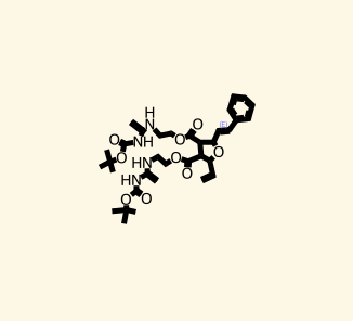 C=CC1OC(/C=C/c2ccccc2)C(C(=O)OCCNC(=C)NC(=O)OC(C)(C)C)C1C(=O)OCCNC(=C)NC(=O)OC(C)(C)C